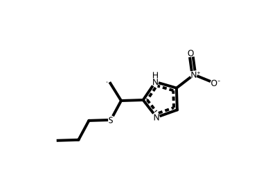 [CH2]C(SCCC)c1ncc([N+](=O)[O-])[nH]1